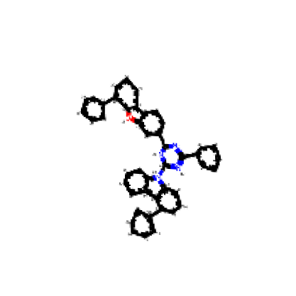 c1ccc(-c2nc(-c3ccc4c(c3)oc3c(-c5ccccc5)cccc34)nc(-n3c4ccccc4c4c(-c5ccccc5)cccc43)n2)cc1